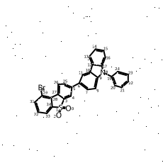 O=S1(=O)c2cc(-c3ccc4c(c3)c3ccccc3n4-c3ccccc3)ccc2-c2c(Br)cccc21